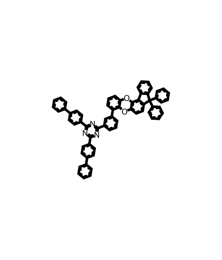 c1ccc(-c2ccc(-c3nc(-c4ccc(-c5ccccc5)cc4)nc(-c4cccc(-c5cccc6c5Oc5ccc7c(c5O6)-c5ccccc5C7(c5ccccc5)c5ccccc5)c4)n3)cc2)cc1